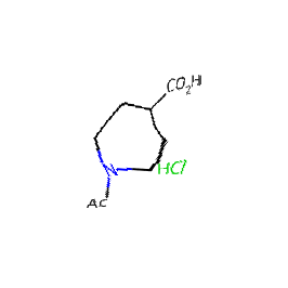 CC(=O)N1CCC(C(=O)O)CC1.Cl